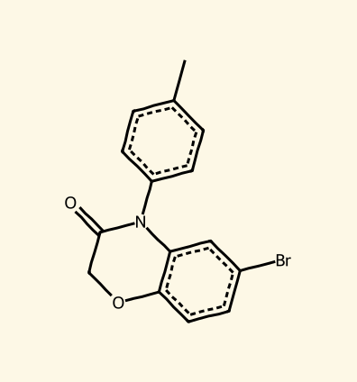 Cc1ccc(N2C(=O)COc3ccc(Br)cc32)cc1